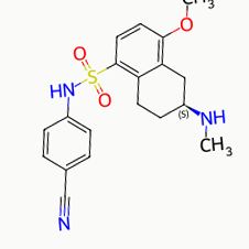 CN[C@H]1CCc2c(S(=O)(=O)Nc3ccc(C#N)cc3)ccc(OC)c2C1